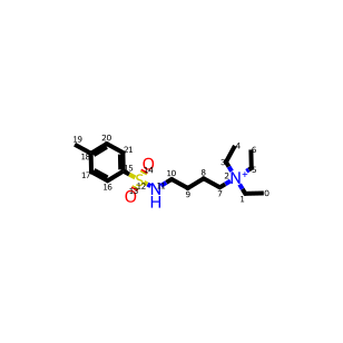 CC[N+](CC)(CC)CCCCNS(=O)(=O)c1ccc(C)cc1